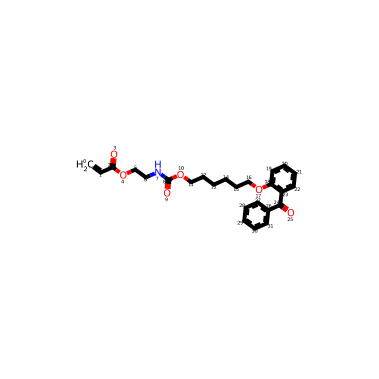 C=CC(=O)OCCNC(=O)OCCCCCCOc1ccccc1C(=O)c1ccccc1